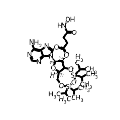 CC(C)[Si]1(C(C)C)OC[C@H]2O[C@@H](n3cnc4c(N)ncnc43)[C@@H](OC(=O)CCC(=O)NO)C2O[Si](C(C)C)(C(C)C)O1